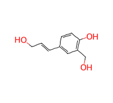 OC/C=C/c1ccc(O)c(CO)c1